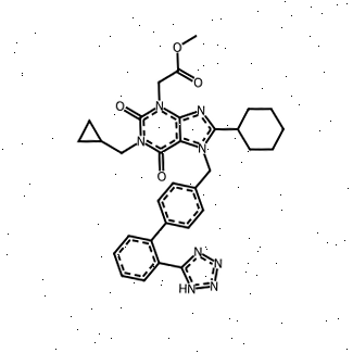 COC(=O)Cn1c(=O)n(CC2CC2)c(=O)c2c1nc(C1CCCCC1)n2Cc1ccc(-c2ccccc2-c2nnn[nH]2)cc1